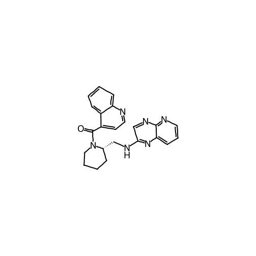 O=C(c1ccnc2ccccc12)N1CCCC[C@H]1CNc1cnc2ncccc2n1